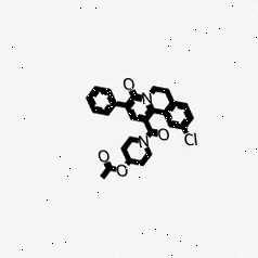 CC(=O)OC1CCN(C(=O)c2cc(-c3ccccc3)c(=O)n3c2-c2cc(Cl)ccc2CC3)CC1